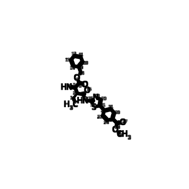 CC[C@@H](C(=N)C(=O)OCc1ccccc1)C(=O)Nc1ncc(-c2ccc(C(=O)OC)cc2)s1